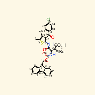 Cc1sc(NC(=O)C(NC(=O)OCC2c3ccccc3-c3ccccc32)[C@@H](C(=O)O)C(C)(C)C)c(C(=O)c2ccc(Cl)cc2)c1C